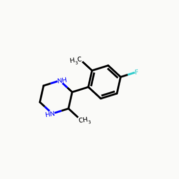 Cc1cc(F)ccc1C1NCCNC1C